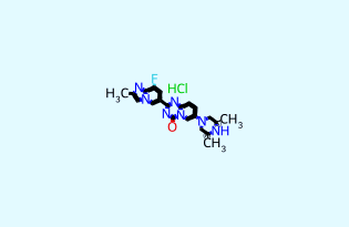 Cc1cn2cc(-c3nc(=O)n4cc(N5C[C@@H](C)N[C@@H](C)C5)ccc4n3)cc(F)c2n1.Cl